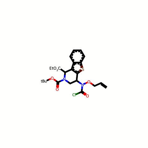 C=CCON(C(=O)Cl)C1CN(C(=O)OC(C)(C)C)C(C(=O)OCC)c2c1sc1ccccc21